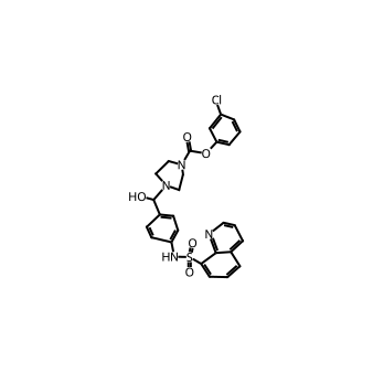 O=C(Oc1cccc(Cl)c1)N1CCN(C(O)c2ccc(NS(=O)(=O)c3cccc4cccnc34)cc2)CC1